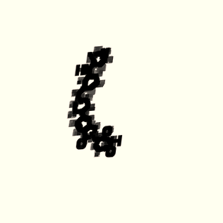 O=C1CCC(N2Cc3cc(C4CCN(Cc5cccc(Nc6ccncn6)c5)CC4)ccc3C2=O)C(=O)N1